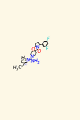 CC/C(C)=C/N=C(\N)N1CCC2(CC1)OC1CCC(c3cc(F)cc(F)c3)N1C2=O